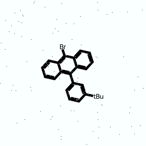 CC(C)(C)c1cccc(-c2c3ccccc3c(Br)c3ccccc23)c1